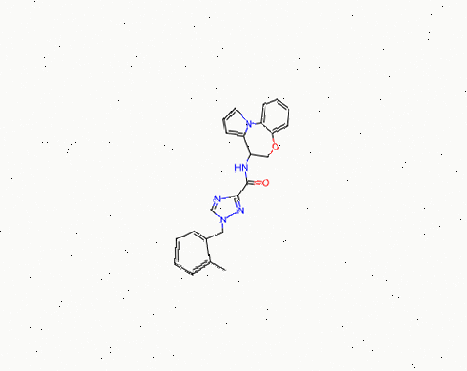 Cc1ccccc1Cn1cnc(C(=O)NC2COc3ccccc3-n3cccc32)n1